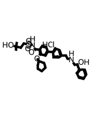 CC(C)(O)CCS(=O)(=O)NC(=O)c1ccc(-c2ccc(CCNC[C@@H](O)c3ccccc3)cc2)cc1OC1CCCCC1.Cl